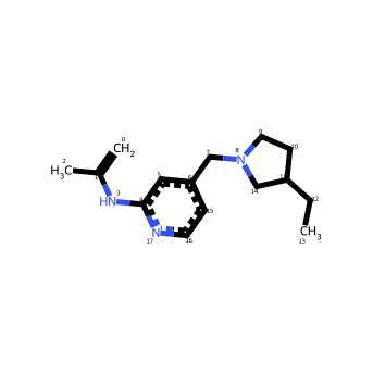 C=C(C)Nc1cc(CN2CCC(CC)C2)ccn1